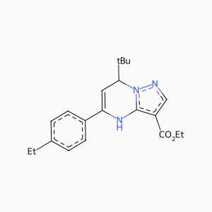 CCOC(=O)c1cnn2c1NC(c1ccc(CC)cc1)=CC2C(C)(C)C